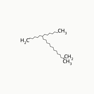 C=CCCCCC(CCCCCCC)CCCCCCCCCCCC(=C)C